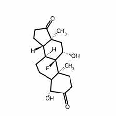 C[C@]12CCC(=O)[C@H](O)C1CC[C@H]1[C@@H]3CCC(=O)[C@@]3(C)C[C@H](O)[C@@]12F